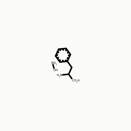 NC(Cc1ccccc1)C(=O)O.O=[N+]([O-])O